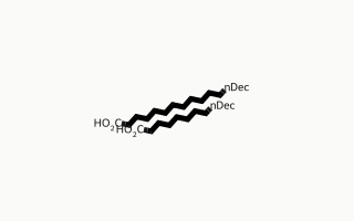 CCCCCCCCCCCCCCCCCC(=O)O.CCCCCCCCCCCCCCCCCCCCCC(=O)O